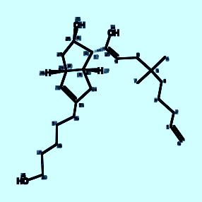 C=CCCCC(C)(C)CC=C(O)[C@@H]1[C@@H]2CC(CCCCCO)=C[C@@H]2C[C@H]1O